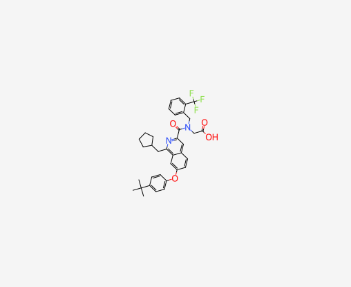 CC(C)(C)c1ccc(Oc2ccc3cc(C(=O)N(CC(=O)O)Cc4ccccc4C(F)(F)F)nc(CC4CCCC4)c3c2)cc1